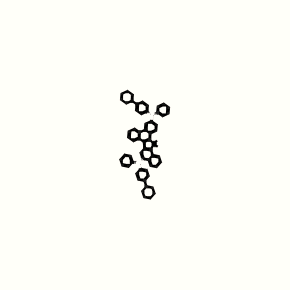 CC1(C)c2c(cc(N(c3ccccc3)c3ccc(C4CCCCC4)cc3)c3ccccc23)-c2c1c1ccc(N(c3ccccc3)c3ccc(C4CCCCC4)cc3)cc1c1ccccc21